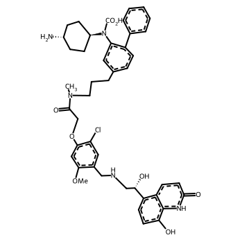 COc1cc(OCC(=O)N(C)CCCc2ccc(-c3ccccc3)c(N(C(=O)O)[C@H]3CC[C@H](N)CC3)c2)c(Cl)cc1CNC[C@H](O)c1ccc(O)c2[nH]c(=O)ccc12